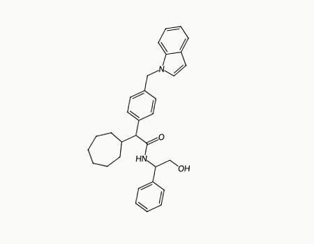 O=C(NC(CO)c1ccccc1)C(c1ccc(Cn2ccc3ccccc32)cc1)C1CCCCCC1